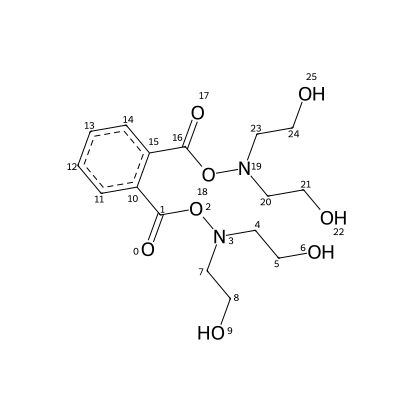 O=C(ON(CCO)CCO)c1ccccc1C(=O)ON(CCO)CCO